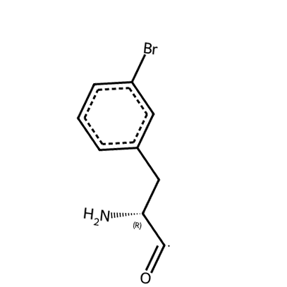 N[C@@H]([C]=O)Cc1cccc(Br)c1